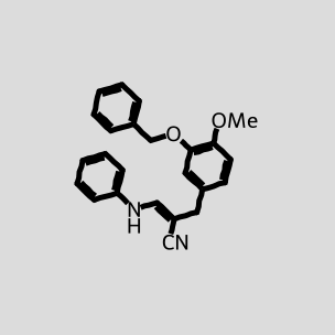 COc1ccc(CC(C#N)=CNc2ccccc2)cc1OCc1ccccc1